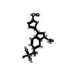 CC[C@H](C)n1cc(-c2ccc(C=O)s2)c2ccc(NS(C)(=O)=O)cc21